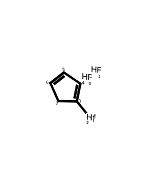 F.F.[Hf][C]1=CC=CC1